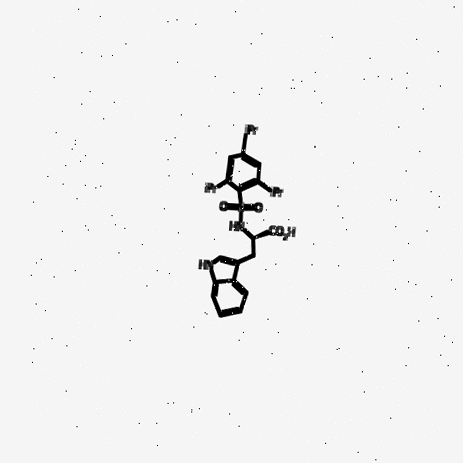 CC(C)c1cc(C(C)C)c(S(=O)(=O)N[C@H](Cc2c[nH]c3ccccc23)C(=O)O)c(C(C)C)c1